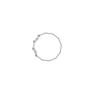 C1CCCCN=NN=NCCC1